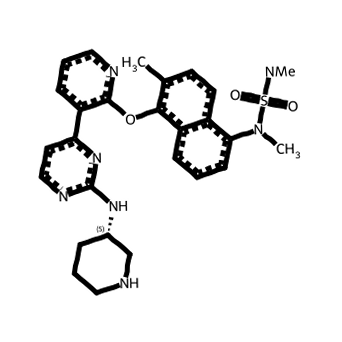 CNS(=O)(=O)N(C)c1cccc2c(Oc3ncccc3-c3ccnc(N[C@H]4CCCNC4)n3)c(C)ccc12